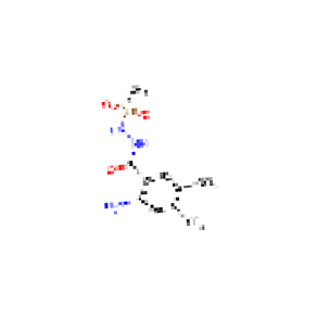 CS(=O)(=O)NNC(=O)c1cc([N+](=O)[O-])c(C(F)(F)F)cc1N